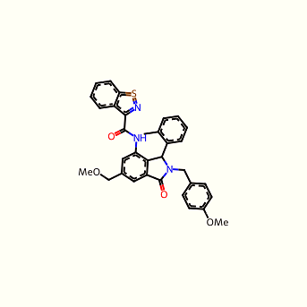 COCc1cc(NC(=O)c2nsc3ccccc23)c2c(c1)C(=O)N(Cc1ccc(OC)cc1)C2c1ccccc1C